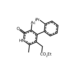 CCOC(=O)Cc1c(C)[nH]c(=O)c(C(C)=O)c1-c1ccccc1C(C)C